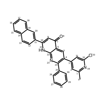 Cc1cc(-c2cc3c(=O)cc(-c4ccc5ccccc5c4)[nH]c3nc2-c2ccccc2)cc(Cl)n1